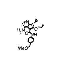 COCc1ccc(NC(=O)c2c(OCCF)n(C3CC3)c3ncnc(N)c23)cc1